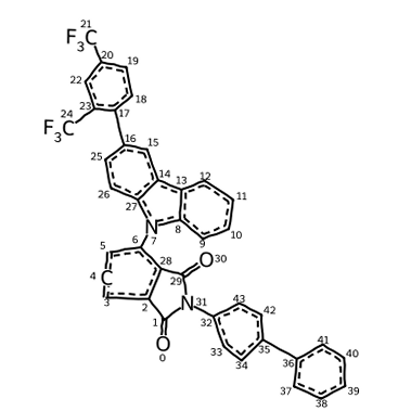 O=C1c2cccc(-n3c4ccccc4c4cc(-c5ccc(C(F)(F)F)cc5C(F)(F)F)ccc43)c2C(=O)N1c1ccc(-c2ccccc2)cc1